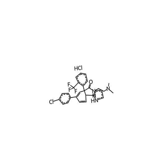 CN(C)CCNC(=O)C1(c2ccccc2C(F)(F)F)C=C(c2ccc(Cl)cc2)C=CC1c1ccc[nH]1.Cl